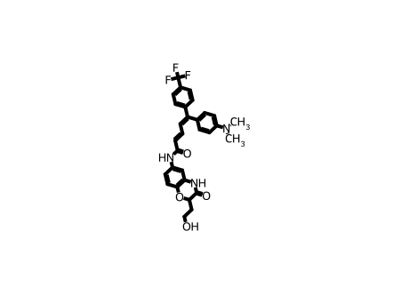 CN(C)c1ccc(C(=CC=CC(=O)Nc2ccc3c(c2)NC(=O)C(CCO)O3)c2ccc(C(F)(F)F)cc2)cc1